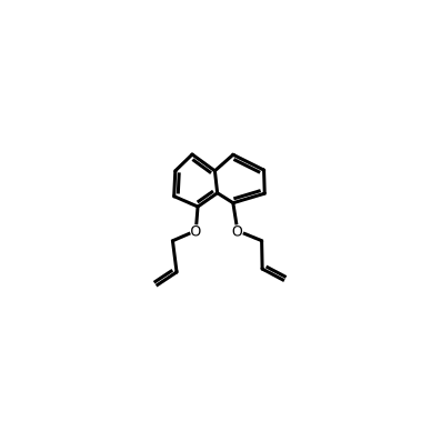 C=CCOc1cccc2cccc(OCC=C)c12